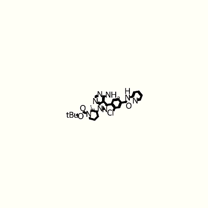 C[C@@H]1C(n2nc(-c3ccc(C(=O)Nc4ccccn4)cc3Cl)c3c(N)ncnc32)CCCN1C(=O)OC(C)(C)C